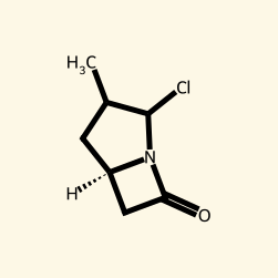 CC1C[C@@H]2CC(=O)N2C1Cl